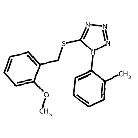 COc1ccccc1CSc1nnnn1-c1ccccc1C